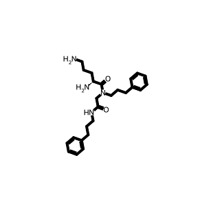 NCCC[C@@H](N)C(=O)N(CCCc1ccccc1)CC(=O)NCCCc1ccccc1